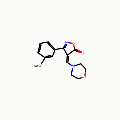 COc1cccc(C2=NOC(=O)/C2=C\N2CCOCC2)c1